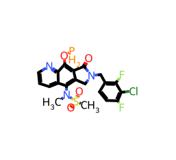 CN(c1c2c(c(OP)c3ncccc13)C(=O)N(Cc1ccc(F)c(Cl)c1F)C2)S(C)(=O)=O